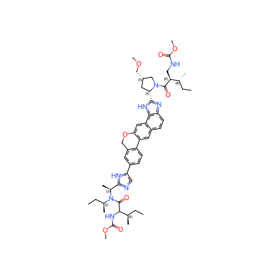 CC[C@@H](C)C(NC(=O)OC)C(=O)N([C@@H](C)CC)[C@@H](C)c1ncc(-c2ccc3c(c2)COc2cc4c(ccc5nc([C@@H]6C[C@H](COC)CN6C(=O)[C@@H](CNC(=O)OC)[C@H](C)CC)[nH]c54)cc2-3)[nH]1